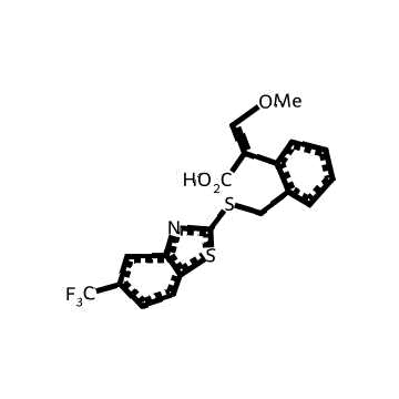 CO/C=C(/C(=O)O)c1ccccc1CSc1nc2cc(C(F)(F)F)ccc2s1